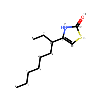 CCCCCCC(CC)c1csc(=O)[nH]1